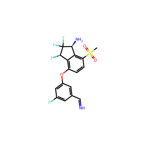 CS(=O)(=O)c1ccc(Oc2cc(F)cc(C=N)c2)c2c1[C@H](N)C(F)(F)[C@@H]2F